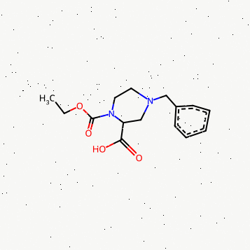 CCOC(=O)N1CCN(Cc2ccccc2)CC1C(=O)O